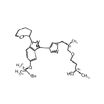 C[C@@H](COCC[C@@H](C)O)Cn1cc(-c2nn(C3CCCCO3)c3ccc(O[Si](C)(C)C(C)(C)C)cc23)cn1